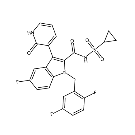 O=C(NS(=O)(=O)C1CC1)c1c(-c2ccc[nH]c2=O)c2cc(F)ccc2n1Cc1cc(F)ccc1F